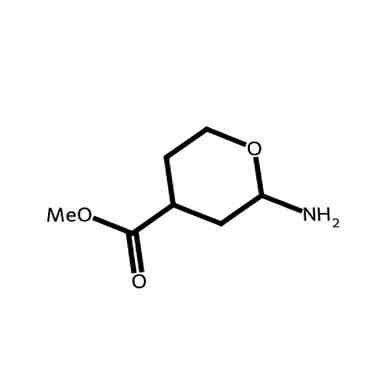 COC(=O)C1CCOC(N)C1